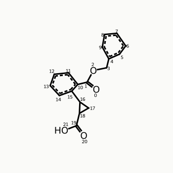 O=C(OCc1ccccc1)c1ccccc1C1CC1C(=O)O